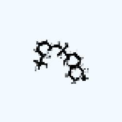 CC(C)(C)c1cccc(CC(C)(C)c2ccc3c(n2)CCNC3)n1